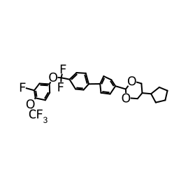 Fc1cc(OC(F)(F)c2ccc(-c3ccc(C4OCC(C5CCCC5)CO4)cc3)cc2)ccc1OC(F)(F)F